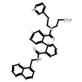 O=C(O)CCN(CCc1cccnc1)C(=O)c1ccccc1-c1ccccc1C(=O)NCc1cccc2ccccc12